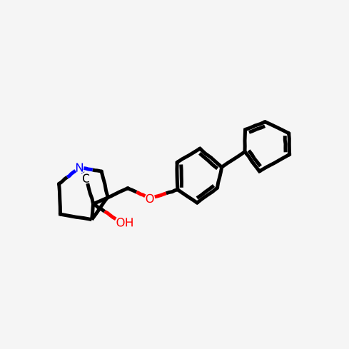 OC1(COc2ccc(-c3ccccc3)cc2)CN2CCC1CC2